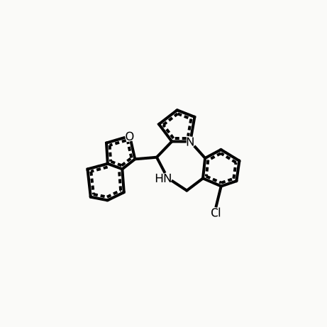 Clc1cccc2c1CNC(c1occ3ccccc13)c1cccn1-2